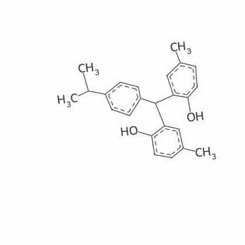 Cc1ccc(O)c(C(c2ccc(C(C)C)cc2)c2cc(C)ccc2O)c1